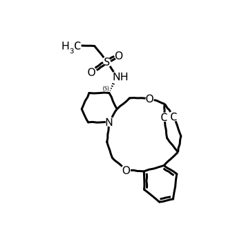 CCS(=O)(=O)N[C@H]1CCCN2CCOc3ccccc3C3CCC(CC3)OCC12